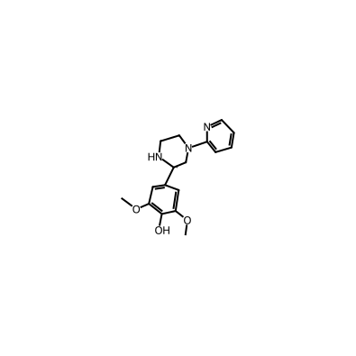 COc1cc([C]2CN(c3ccccn3)CCN2)cc(OC)c1O